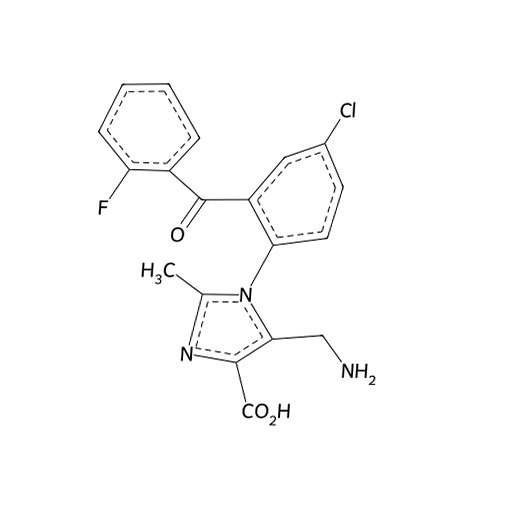 Cc1nc(C(=O)O)c(CN)n1-c1ccc(Cl)cc1C(=O)c1ccccc1F